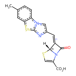 Cc1ccc2c(c1)sc1nc(/C=C3/C(=O)N4C(C(=O)O)=CS[C@H]34)cn12